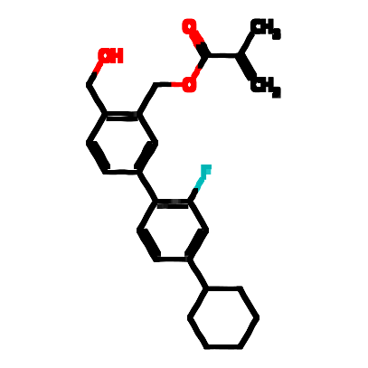 C=C(C)C(=O)OCc1cc(-c2ccc(C3CCCCC3)cc2F)ccc1CO